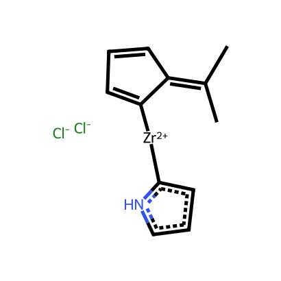 CC(C)=C1C=CC=[C]1[Zr+2][c]1ccc[nH]1.[Cl-].[Cl-]